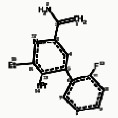 C=C(N)c1cc(-c2ccccc2F)c(CCC)c(CC)n1